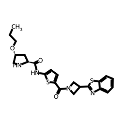 CCCO[C@H]1CN[C@H](C(=O)Nc2ccc(C(=O)N3CC(c4nc5ccccc5s4)C3)s2)C1